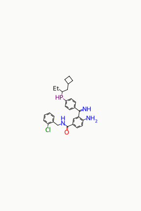 CCC(CC1CCC1)Pc1ccc(C(=N)c2cc(C(=O)NCc3ccccc3Cl)ccc2N)cc1